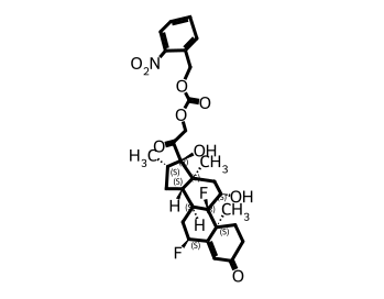 C[C@H]1C[C@H]2[C@@H]3C[C@H](F)C4=CC(=O)CC[C@]4(C)[C@@]3(F)[C@@H](O)C[C@]2(C)[C@@]1(O)C(=O)COC(=O)OCc1ccccc1[N+](=O)[O-]